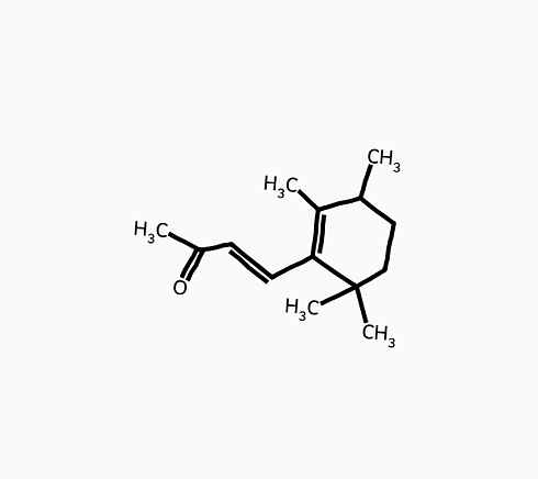 CC(=O)/C=C/C1=C(C)C(C)CCC1(C)C